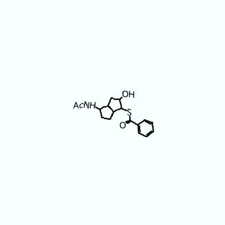 CC(=O)NC1CCC2C1CC(O)C2SC(=O)c1ccccc1